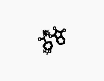 NNC(=O)c1ccccc1.O.O=c1c(=O)c2ccccc2c1=O